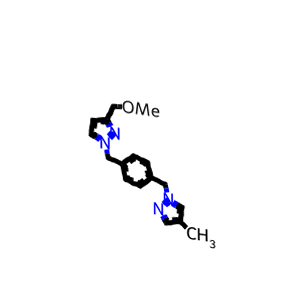 COCc1ccn(Cc2ccc(Cn3cc(C)cn3)cc2)n1